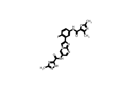 Cc1n[nH]c(C(=O)Nc2cnc3nc(-c4cc(NC(=O)c5oc(C)nc5C)ccc4F)cn3c2)n1